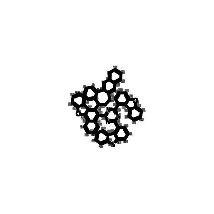 c1ccc2c(c1)-c1cc3ccccc3cc1CCC2c1c(-c2nc(-c3cccc4oc5ccccc5c34)nc(-c3cccc4sc5ccccc5c34)n2)c2ccccc2c2oc3ccccc3c12